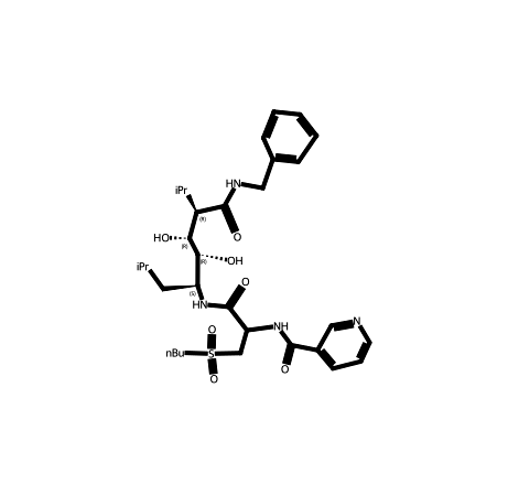 CCCCS(=O)(=O)CC(NC(=O)c1cccnc1)C(=O)N[C@@H](CC(C)C)[C@@H](O)[C@H](O)[C@H](C(=O)NCc1ccccc1)C(C)C